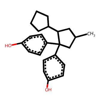 CC1CC(C2CCCC2)C(c2ccc(O)cc2)(c2ccc(O)cc2)C1